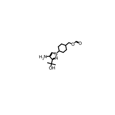 CC(C)(O)c1nn(C2CCC(COC=O)CC2)cc1N